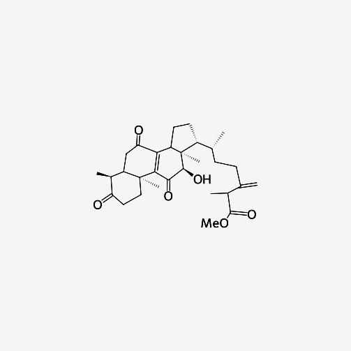 C=C(CC[C@@H](C)[C@H]1CCC2C3=C(C(=O)[C@H](O)[C@@]21C)[C@@]1(C)CCC(=O)[C@@H](C)C1CC3=O)C(C)C(=O)OC